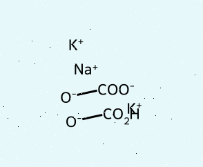 O=C([O-])O.O=C([O-])[O-].[K+].[K+].[Na+]